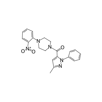 Cc1cc(C(=O)N2CCN(c3ccccc3[N+](=O)[O-])CC2)n(-c2ccccc2)n1